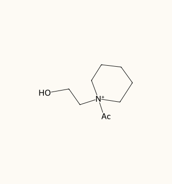 CC(=O)[N+]1(CCO)CCCCC1